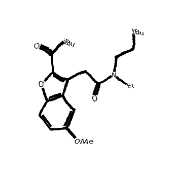 CCC(C)C(=O)c1oc2ccc(OC)cc2c1CC(=O)N(CC)CCC(C)(C)C